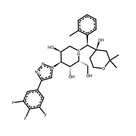 Cc1ccccc1[C@H]([SH]1C[C@H](O)[C@H](n2cc(-c3cc(F)c(F)c(F)c3)nn2)[C@@H](O)[C@H]1CO)[C@@]1(O)CCOC(C)(C)C1